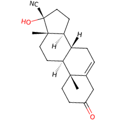 C[C@]12CCC(=O)CC1=CC[C@@H]1[C@@H]2CC[C@@]2(C)[C@H]1CC[C@]2(O)C#N